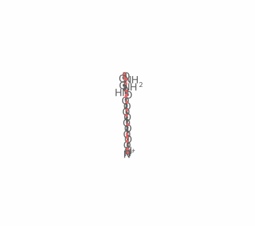 CC(C)(C)OC(=O)[C@@H](N)CCC(=O)NCCNC(=O)CCOCCOCCOCCOCCOCCOCCOCCOCCOCCN=[N+]=[N-]